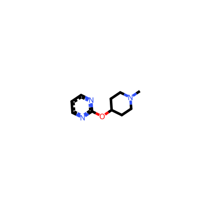 CN1CCC(Oc2ncccn2)CC1